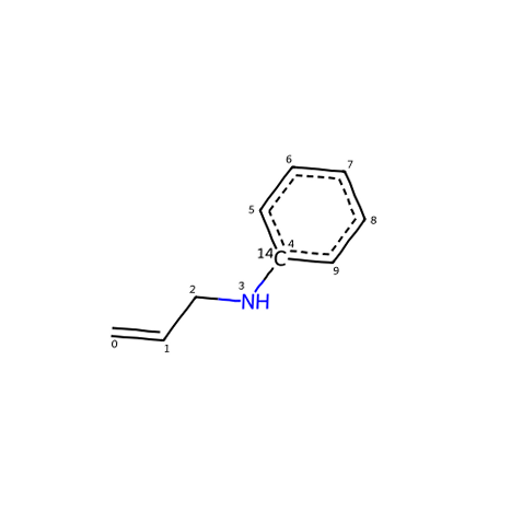 C=CCN[14c]1ccccc1